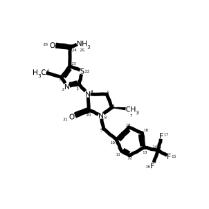 Cc1nc(N2C[C@@H](C)N(Cc3ccc(C(F)(F)F)cc3)C2=O)sc1C(N)=O